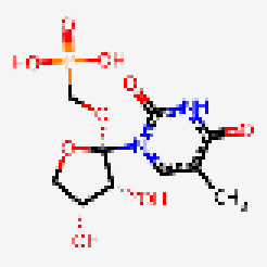 Cc1cn([C@]2(OCP(=O)(O)O)OC[C@@H](O)[C@H]2O)c(=O)[nH]c1=O